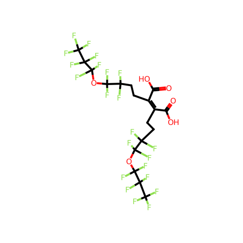 O=C(O)/C(CCC(F)(F)C(F)(F)OC(F)(F)C(F)(F)C(F)(F)F)=C(/CCC(F)(F)C(F)(F)OC(F)(F)C(F)(F)C(F)(F)F)C(=O)O